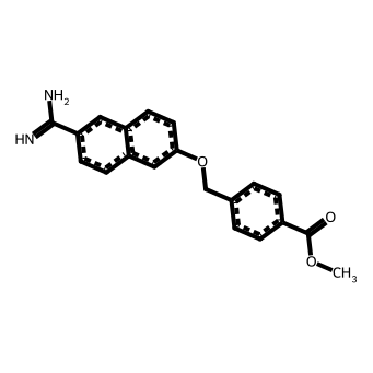 COC(=O)c1ccc(COc2ccc3cc(C(=N)N)ccc3c2)cc1